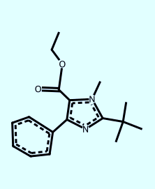 CCOC(=O)c1c(-c2ccccc2)nc(C(C)(C)C)n1C